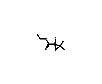 CCOC(=O)C1(N)CC1(C)C